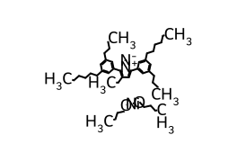 CCCCCCc1cc(CCCC)cc(C2=CC(CC)=C(c3cc(CCCC)cc(CCCCCC)c3)[N+]2=[N-])c1.CCCC[O][Ni][O]CCCC